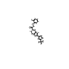 Cc1ccccc1OCC(=O)N1CCc2sc(-c3noc(C(F)(F)F)n3)cc2C1